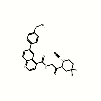 COc1ccc(-c2ccc3nccc(C(=O)NCC(=O)N4CC(F)(F)CC[C@H]4C#N)c3c2)cc1